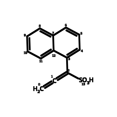 C=C=C(c1cccc2ccccc12)S(=O)(=O)O